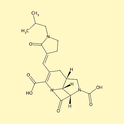 CC(C)CN1CC/C(=C\C2=C(C(=O)O)N3C(=O)[C@@H]4[C@H]3[C@H](C2)CN4C(=O)O)C1=O